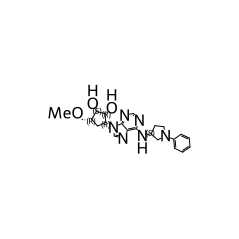 COC[C@H]1C[C@@H](n2cnc3c(N[C@H]4CCN(c5ccccc5)C4)ncnc32)[C@@H](O)[C@H]1O